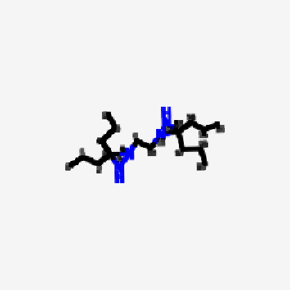 CCCC1(CCC)NN1CCN1NC1(CCC)CCC